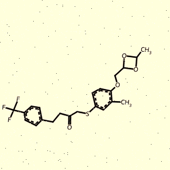 Cc1cc(SCC(=O)CCc2ccc(C(F)(F)F)cc2)ccc1OCC1OC(C)O1